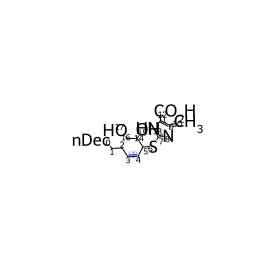 CCCCCCCCCCCC/C=C\C(Sc1nc(C)c(C(=O)O)[nH]1)C(O)CO